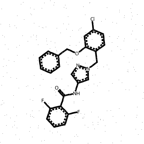 O=C(Nc1cnn(Cc2ccc(Cl)cc2OCc2ccccc2)c1)c1c(F)cccc1F